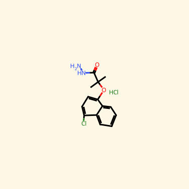 CC(C)(Oc1ccc(Cl)c2ccccc12)C(=O)NN.Cl